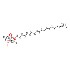 C=CCCCCCCCCCCCCCCCCCOC(=O)C(O)(C(F)(F)F)C(F)(F)F